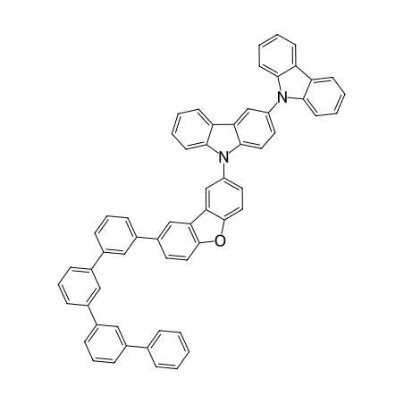 c1ccc(-c2cccc(-c3cccc(-c4cccc(-c5ccc6oc7ccc(-n8c9ccccc9c9cc(-n%10c%11ccccc%11c%11ccccc%11%10)ccc98)cc7c6c5)c4)c3)c2)cc1